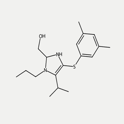 CCCN1C(C(C)C)=C(Sc2cc(C)cc(C)c2)NC1CO